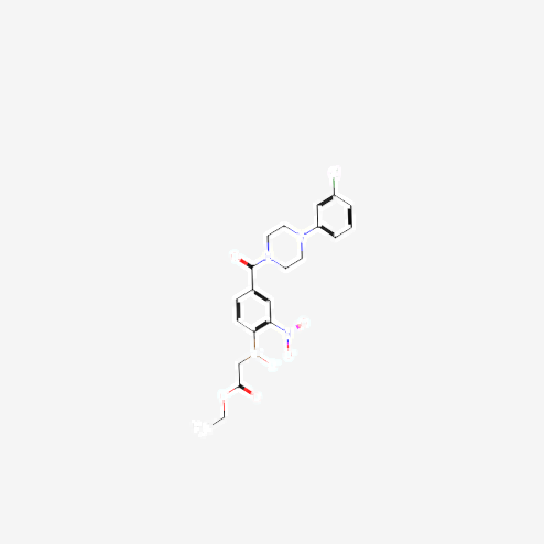 CCOC(=O)C[S+]([O-])c1ccc(C(=O)N2CCN(c3cccc(Cl)c3)CC2)cc1[N+](=O)[O-]